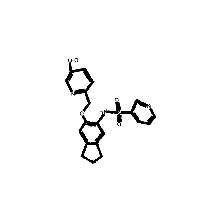 O=Cc1ccc(COc2cc3c(cc2NS(=O)(=O)c2cccnc2)CCC3)nc1